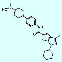 CB(O)N1CCN(c2ccc(NC(=O)c3cc4c(C)nn(C5CCCCC5)c4s3)cc2)CC1